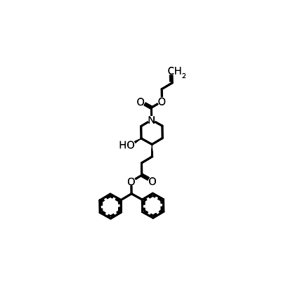 C=CCOC(=O)N1CC[C@@H](CCC(=O)OC(c2ccccc2)c2ccccc2)[C@@H](O)C1